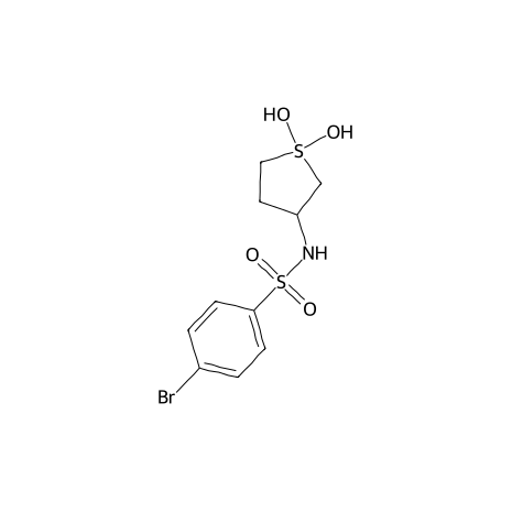 O=S(=O)(NC1CCS(O)(O)C1)c1ccc(Br)cc1